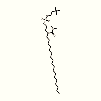 CCCCCCCCCCCCCCCCCCN(CCOP(=O)([O-])OCC[N+](C)(C)C)C(=O)N(C)C